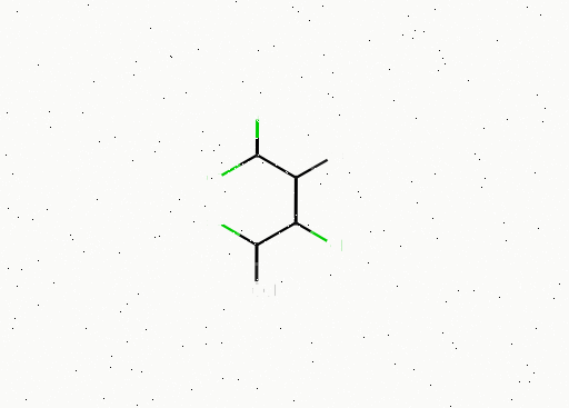 ClC(Cl)C(C(Cl)C(Cl)C(Cl)(Cl)Cl)C(Cl)(Cl)Cl